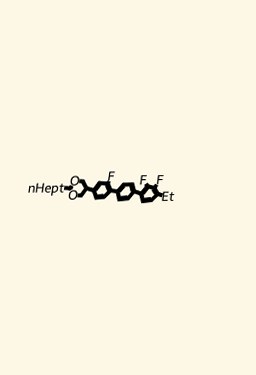 CCCCCCCC1OCC(c2ccc(-c3ccc(-c4ccc(CC)c(F)c4F)cc3)c(F)c2)CO1